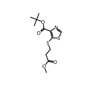 COC(=O)CCSc1scnc1C(=O)OC(C)(C)C